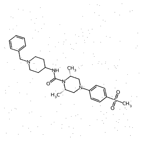 C[C@@H]1CN(c2ccc(S(C)(=O)=O)cc2)C[C@H](C)N1C(=O)NC1CCN(Cc2ccccc2)CC1